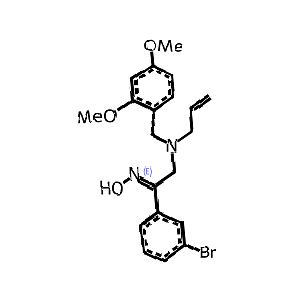 C=CCN(C/C(=N/O)c1cccc(Br)c1)Cc1ccc(OC)cc1OC